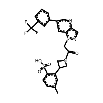 Cc1ccc(S(=O)(=O)O)c(C2CN(C(=O)Cn3ncc4ncc(-c5cccc(C(F)(F)F)c5)cc43)C2)c1